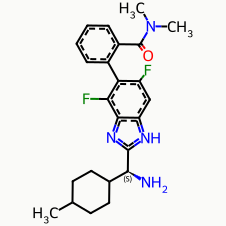 CC1CCC([C@H](N)c2nc3c(F)c(-c4ccccc4C(=O)N(C)C)c(F)cc3[nH]2)CC1